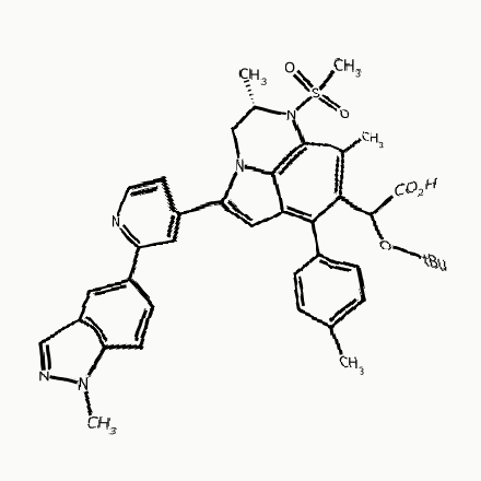 Cc1ccc(-c2c(C(OC(C)(C)C)C(=O)O)c(C)c3c4c2cc(-c2ccnc(-c5ccc6c(cnn6C)c5)c2)n4C[C@H](C)N3S(C)(=O)=O)cc1